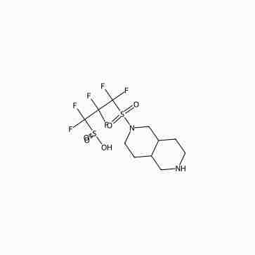 O=S(=O)(O)C(F)(F)C(F)(F)C(F)(F)S(=O)(=O)N1CCC2CNCCC2C1